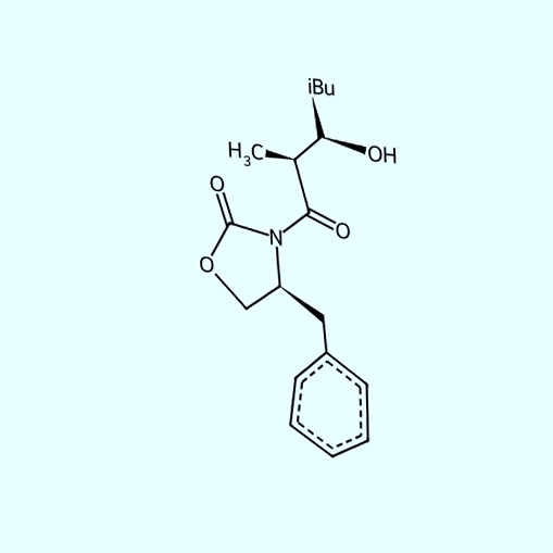 CC[C@H](C)[C@@H](O)[C@H](C)C(=O)N1C(=O)OC[C@@H]1Cc1ccccc1